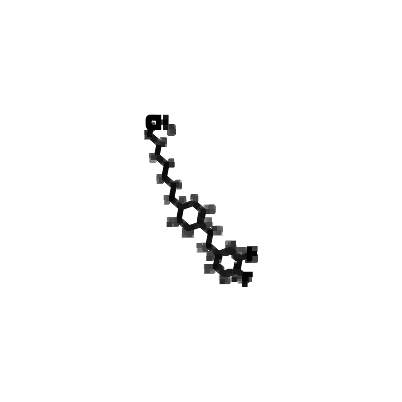 CCCCCCCCC1CC=C(CCc2ccc(F)c(F)c2)CC1